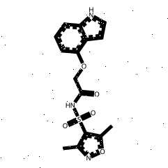 Cc1noc(C)c1S(=O)(=O)NC(=O)COc1cccc2[nH]ccc12